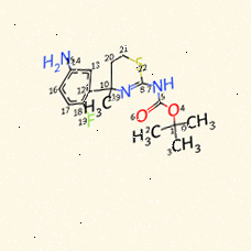 CC(C)(C)OC(=O)NC1=NC(C)(c2cc(N)ccc2F)CCS1